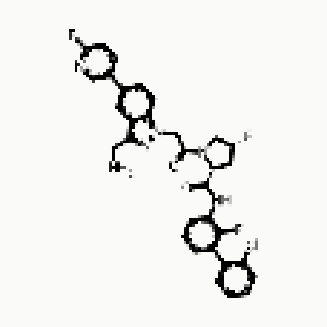 NCc1nn(CC(=O)N2C[C@H](F)C[C@H]2C(=O)Nc2cccc(-c3ccccc3Cl)c2F)c2ccc(-c3ccc(F)nc3)cc12